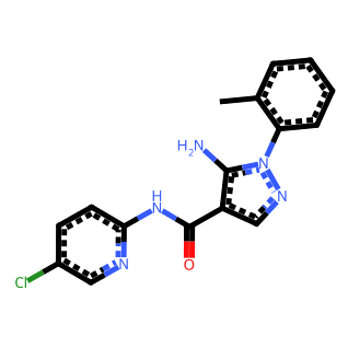 Cc1ccccc1-n1ncc(C(=O)Nc2ccc(Cl)cn2)c1N